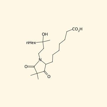 CCCCCCC(C)(O)CCN1C(=O)C(C)(C)C(=O)C1CCCCCCC(=O)O